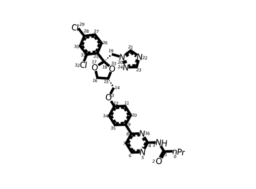 CCCC(=O)Nc1nccc(-c2ccc(OC[C@@H]3CO[C@@](Cn4cncn4)(c4ccc(Cl)cc4Cl)O3)cc2)n1